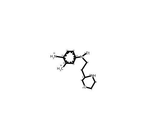 CCN(CCC1COCCN1)c1ccc(N)c(C)c1